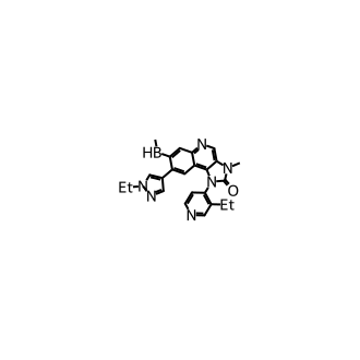 CBc1cc2ncc3c(c2cc1-c1cnn(CC)c1)n(-c1ccncc1CC)c(=O)n3C